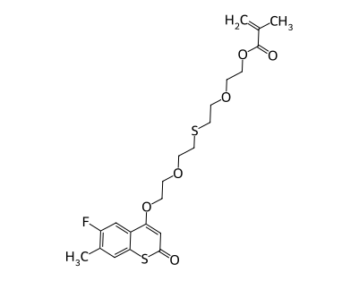 C=C(C)C(=O)OCCOCCSCCOCCOc1cc(=O)sc2cc(C)c(F)cc12